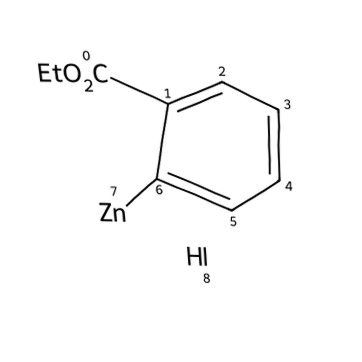 CCOC(=O)c1cccc[c]1[Zn].I